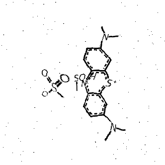 CN(C)c1ccc2nc3ccc(N(C)C)cc3[s+]c2c1.CS(=O)(=O)O.CS(=O)(=O)[O-]